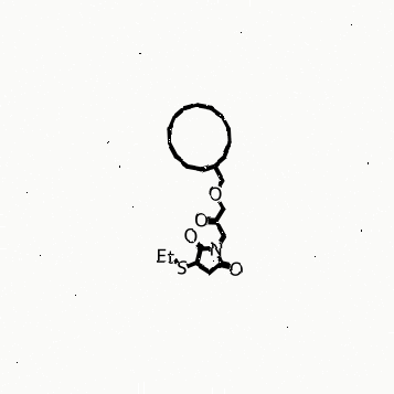 CCSC1CC(=O)N(CC(=O)COCC2CCCCCCCCCCCCC2)C1=O